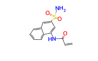 C=CC(=O)Nc1cc(S(N)(=O)=O)cc2ccccc12